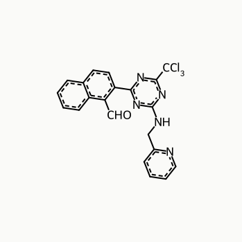 O=Cc1c(-c2nc(NCc3ccccn3)nc(C(Cl)(Cl)Cl)n2)ccc2ccccc12